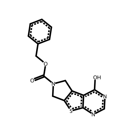 O=C(OCc1ccccc1)N1Cc2sc3ncnc(O)c3c2C1